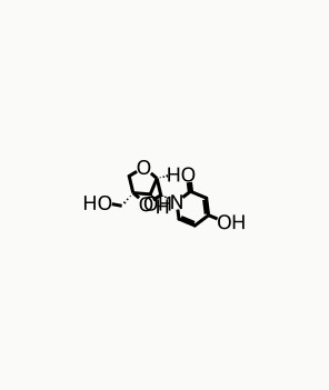 O=c1cc(O)ccn1[C@@H]1O[C@@]2(CO)CO[C@@H]1[C@@H]2O